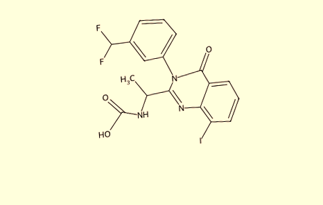 CC(NC(=O)O)c1nc2c(I)cccc2c(=O)n1-c1cccc(C(F)F)c1